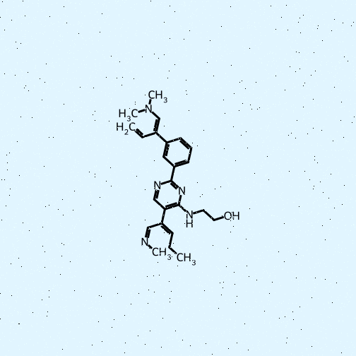 C=C/C(=C\N(C)C)c1cccc(-c2ncc(C(/C=N\C)=C/CC)c(NCCO)n2)c1